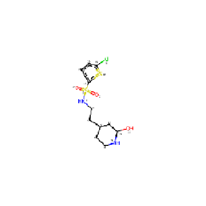 O=S(=O)(NCCC1CCNC(O)C1)c1ccc(Cl)s1